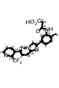 Cc1ccc(-c2cn3nc(-c4cccnc4C(F)(F)F)ccc3n2)cc1NC(=O)CC(=O)O